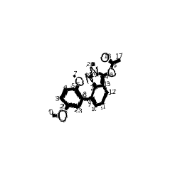 COc1ccc(OC)c(-c2cccc3c(OC(C)=O)n(C)nc23)c1